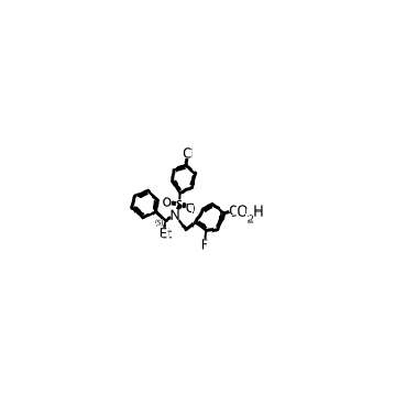 CC[C@@H](c1ccccc1)N(Cc1ccc(C(=O)O)cc1F)S(=O)(=O)c1ccc(Cl)cc1